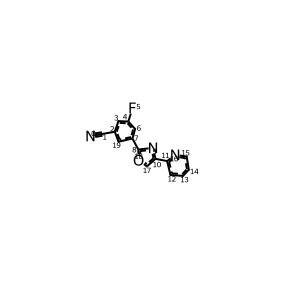 N#Cc1cc(F)cc(-c2nc(-c3ccccn3)co2)c1